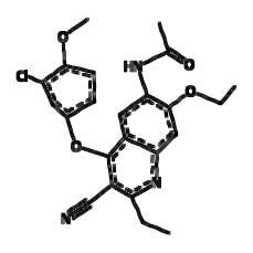 CCOc1cc2nc(CC)c(C#N)c(Oc3ccc(OC)c(Cl)c3)c2cc1NC(C)=O